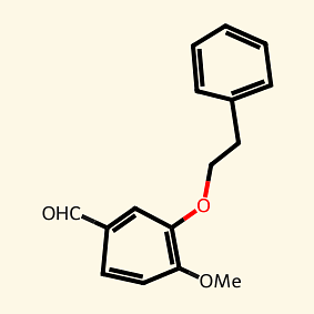 COc1ccc(C=O)cc1OCCc1ccccc1